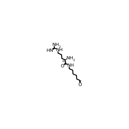 N=C(N)NCCC[C@@H](N)C(=O)NCCCCC[C]=O